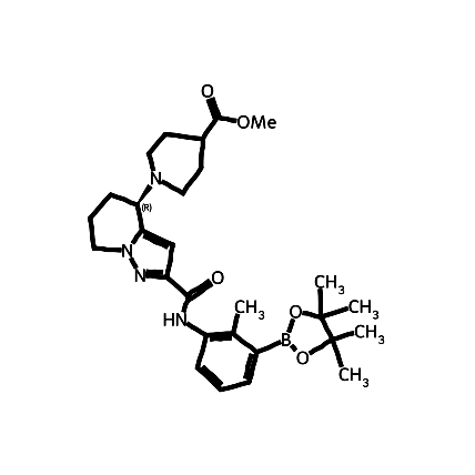 COC(=O)C1CCN([C@@H]2CCCn3nc(C(=O)Nc4cccc(B5OC(C)(C)C(C)(C)O5)c4C)cc32)CC1